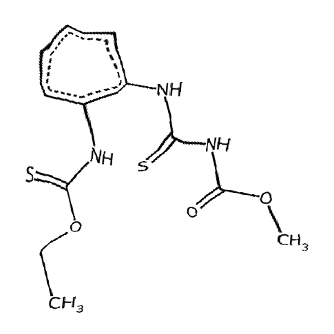 CCOC(=S)Nc1ccccc1NC(=S)NC(=O)OC